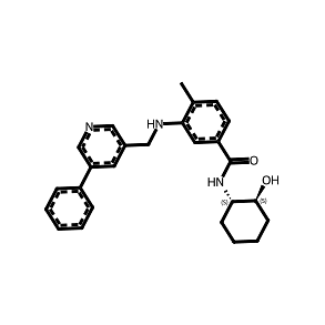 Cc1ccc(C(=O)N[C@H]2CCCC[C@@H]2O)cc1NCc1cncc(-c2ccccc2)c1